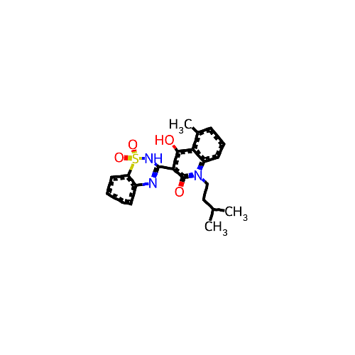 Cc1cccc2c1c(O)c(C1=Nc3ccccc3S(=O)(=O)N1)c(=O)n2CCC(C)C